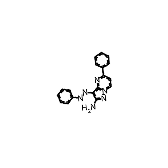 Nc1nn2ccc(-c3ccccc3)nc2c1/N=N/c1ccccc1